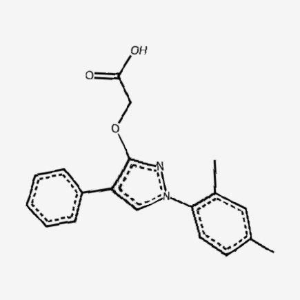 Cc1ccc(-n2cc(-c3ccccc3)c(OCC(=O)O)n2)c(C)c1